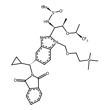 C[C@H](O[C@H](C)[C@H](N[S@+]([O-])C(C)(C)C)c1nc2cc([C@@H](C3CC3)N3C(=O)c4ccccc4C3=O)ccc2n1COCC[Si](C)(C)C)C(F)(F)F